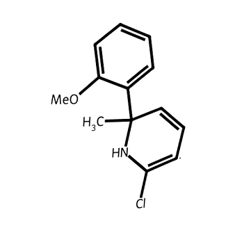 COc1ccccc1C1(C)C=C[C]=C(Cl)N1